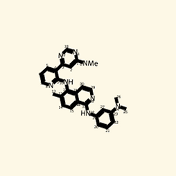 CNc1cc(-c2cccnc2Nc2c(C)ccc3c(Nc4cccc(N(C)C)c4)nccc23)ncn1